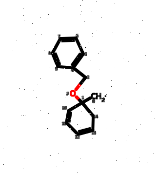 [CH2]C1(OCc2ccccc2)C=CC=CC1